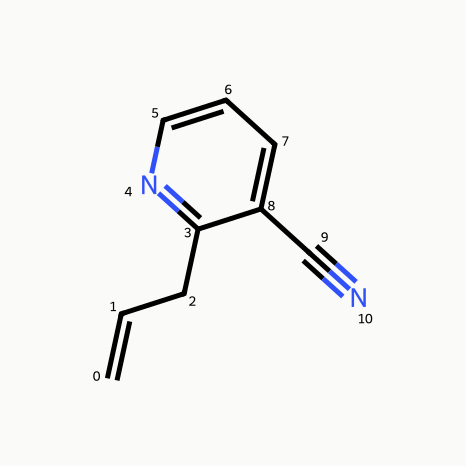 C=CCc1ncccc1C#N